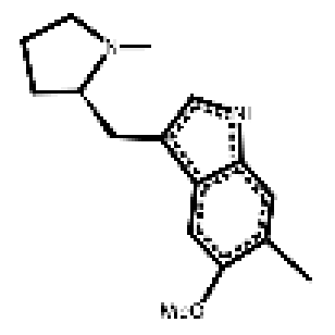 COc1cc2c(C[C@H]3CCCN3C)c[nH]c2cc1C